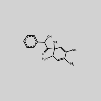 NC1=CC(N)C(N)(C(=O)C(O)c2ccccc2)C=C1N